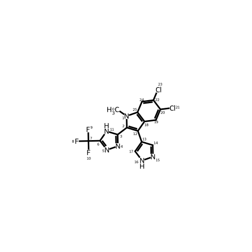 Cn1c(-c2nnc(C(F)(F)F)[nH]2)c(-c2cn[nH]c2)c2cc(Cl)c(Cl)cc21